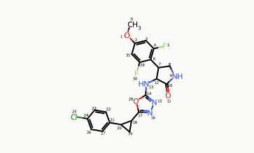 COc1cc(F)c(C2CNC(=O)C2Nc2nnc(C3CC3c3ccc(Cl)cc3)o2)c(F)c1